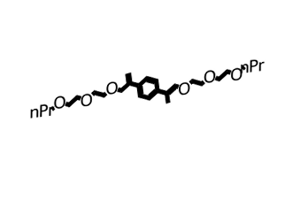 C=C(COCCOCCOCCC)c1ccc(C(C)=COCCOCCOCCC)cc1